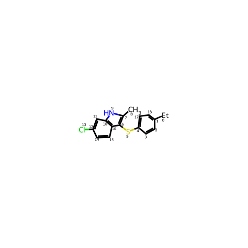 CCc1ccc(Sc2c(C)[nH]c3cc(Cl)ccc23)cc1